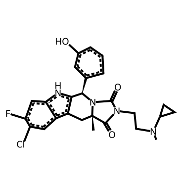 CN(CCN1C(=O)N2[C@H](c3cccc(O)c3)c3[nH]c4cc(F)c(Cl)cc4c3C[C@@]2(C)C1=O)C1CC1